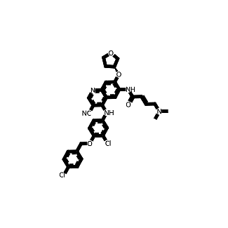 CN(C)CC=CC(=O)Nc1cc2c(Nc3ccc(OCc4ccc(Cl)cc4)c(Cl)c3)c(C#N)cnc2cc1O[C@H]1CCOC1